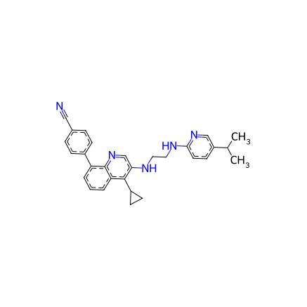 CC(C)c1ccc(NCCNc2cnc3c(-c4ccc(C#N)cc4)cccc3c2C2CC2)nc1